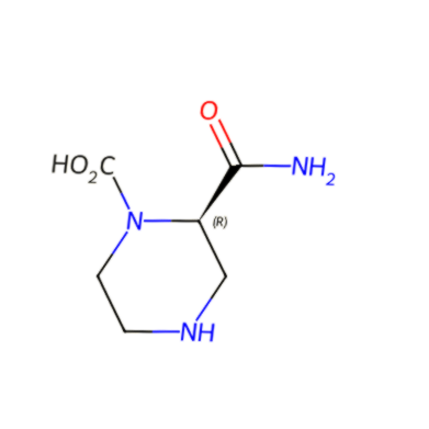 NC(=O)[C@H]1CNCCN1C(=O)O